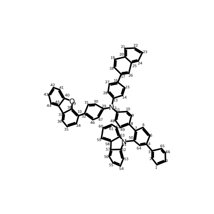 c1ccc(-c2ccc(-c3ccc(N(c4ccc(-c5ccc6ccccc6c5)cc4)c4ccc(-c5cccc6c5oc5ccccc56)cc4)cc3)c(-n3c4ccccc4c4ccccc43)c2)cc1